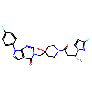 C[C@H](CC(=O)N1CCC(O)(Cn2cnc3c(cnn3-c3ccc(F)cc3)c2=O)CC1)n1ccc(F)n1